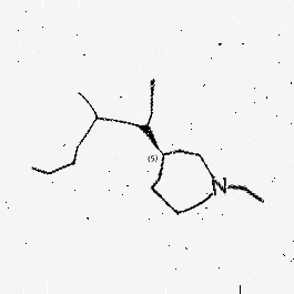 CCC(C)C(C)[C@@H]1CCN(C)C1